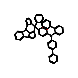 c1ccc(-c2ccc(N(c3ccc4c(c3)-c3ccccc3C43c4ccccc4-n4c5ccccc5c5cccc3c54)c3ccccc3-c3ccccc3)cc2)cc1